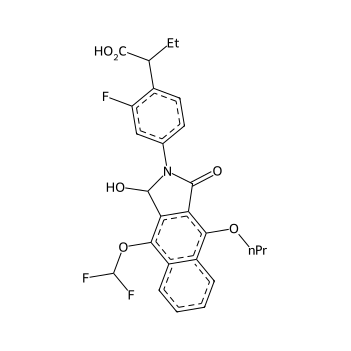 CCCOc1c2c(c(OC(F)F)c3ccccc13)C(O)N(c1ccc(C(CC)C(=O)O)c(F)c1)C2=O